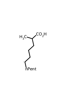 CCCCC[CH]CCCC(C)C(=O)O